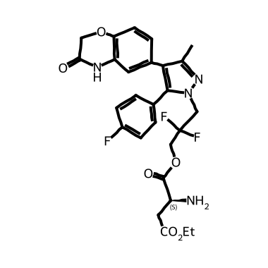 CCOC(=O)C[C@H](N)C(=O)OCC(F)(F)Cn1nc(C)c(-c2ccc3c(c2)NC(=O)CO3)c1-c1ccc(F)cc1